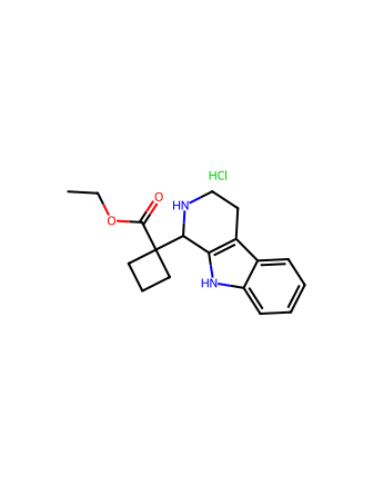 CCOC(=O)C1(C2NCCc3c2[nH]c2ccccc32)CCC1.Cl